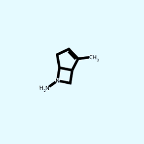 CC1=CCC2C1CN2N